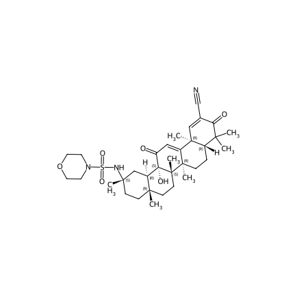 CC1(C)C(=O)C(C#N)=C[C@]2(C)C3=CC(=O)[C@]4(O)[C@@H]5C[C@@](C)(NS(=O)(=O)N6CCOCC6)CC[C@@]5(C)CC[C@@]4(C)[C@]3(C)CC[C@@H]12